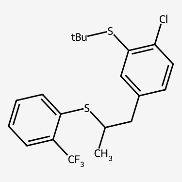 CC(Cc1ccc(Cl)c(SC(C)(C)C)c1)Sc1ccccc1C(F)(F)F